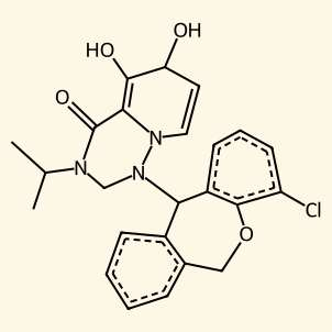 CC(C)N1CN(C2c3ccccc3COc3c(Cl)cccc32)N2C=CC(O)C(O)=C2C1=O